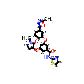 Cc1nnc(-c2cccc(Oc3cc(OC4CCN(C)C4=O)cc(C(=O)Nc4nccs4)c3)c2)o1